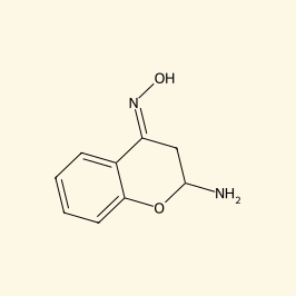 NC1CC(=NO)c2ccccc2O1